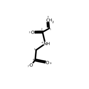 C=CC(=O)NCC([O])=O